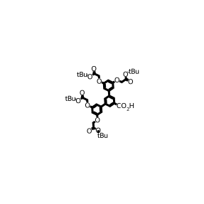 CC(C)(C)OC(=O)COc1cc(OCC(=O)OC(C)(C)C)cc(-c2cc(C(=O)O)cc(-c3cc(OCC(=O)OC(C)(C)C)cc(OCC(=O)OC(C)(C)C)c3)c2)c1